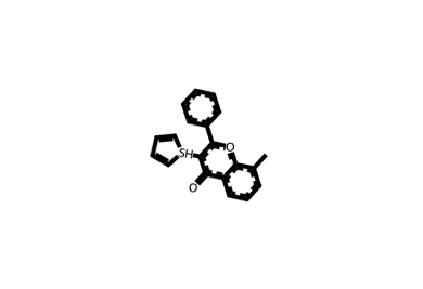 Cc1cccc2c(=O)c([SH]3C=CC=C3)c(-c3ccccc3)oc12